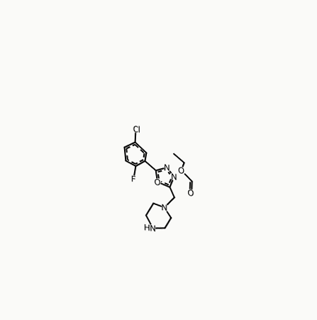 CCOC=O.Fc1ccc(Cl)cc1-c1nnc(CN2CCNCC2)o1